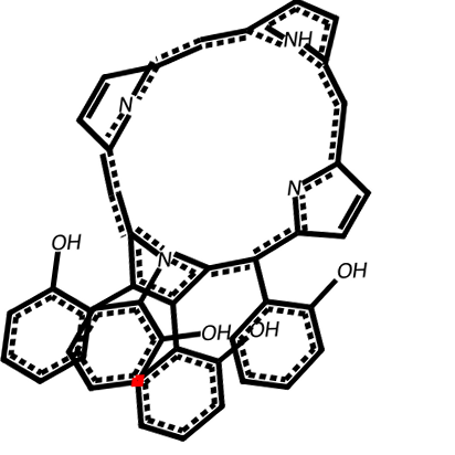 Oc1ccccc1-c1c(-c2ccccc2O)c2c(-c3ccccc3O)c3nc(cc4ccc(cc5nc(cc1n2-c1ccccc1O)C=C5)[nH]4)C=C3